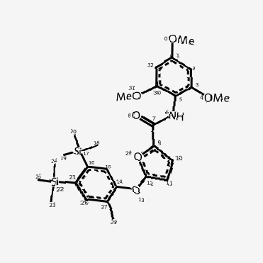 COc1cc(OC)c(NC(=O)c2ccc(Oc3cc([Si](C)(C)C)c([Si](C)(C)C)cc3C)o2)c(OC)c1